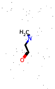 C=NCC=O